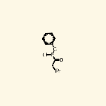 CC(C)CC(=O)P(Cl)Oc1ccccc1